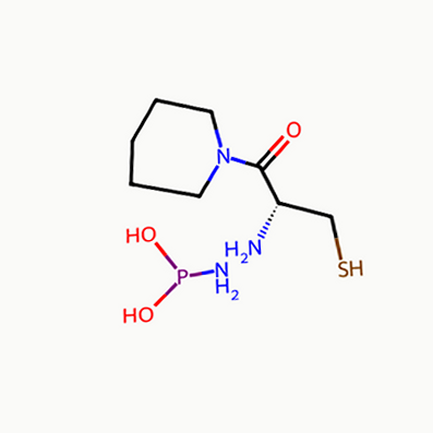 NP(O)O.N[C@@H](CS)C(=O)N1CCCCC1